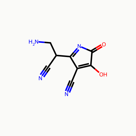 N#CC1=C(O)C(=O)N=C1C(C#N)CN